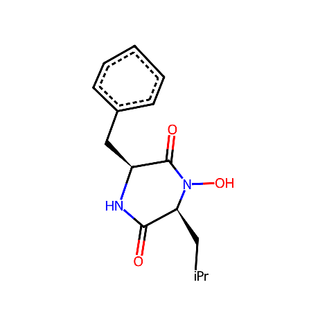 CC(C)C[C@H]1C(=O)N[C@@H](Cc2ccccc2)C(=O)N1O